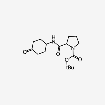 CC(C)(C)OC(=O)N1CCCC1C(=O)NC1CCC(=O)CC1